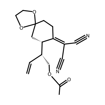 C=C[C@@H](COC(C)=O)[C@@H]1CC2(CCC1=C(C#N)C#N)OCCO2